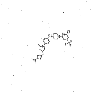 C=C1CC(CN2CC(N(C)C)C2)CN1c1ccc(SN2CCN(c3cc(C(F)(F)F)cc(Cl)n3)CC2)cc1